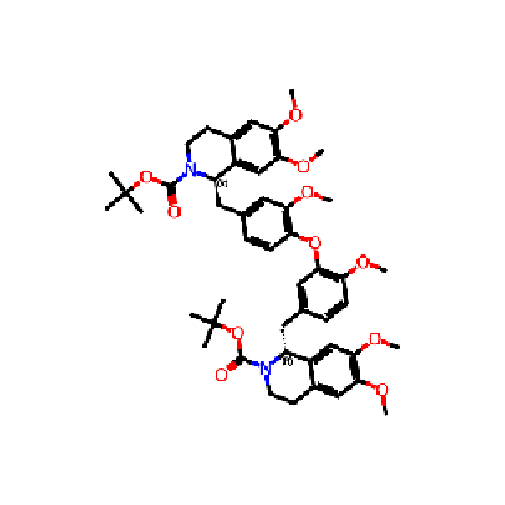 COc1cc2c(cc1OC)[C@@H](Cc1ccc(Oc3cc(C[C@@H]4c5cc(OC)c(OC)cc5CCN4C(=O)OC(C)(C)C)ccc3OC)c(OC)c1)N(C(=O)OC(C)(C)C)CC2